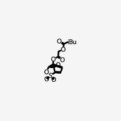 CCC(C)C(=O)OCC(=O)Oc1c2c3oc1cc3S(=O)(=O)O2